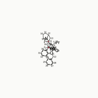 Cc1nnc(C(C)C)n1C1CC2CCC(C1)N2CCC(NC(=O)OCc1ccccc1)c1ccccc1